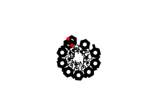 Cc1ccccc1ON1P(Oc2ccccc2C)N=P(Oc2ccccc2C)(Oc2ccccc2C)N(Oc2ccccc2C)P(Oc2ccccc2C)N(Oc2ccccc2C)P(Oc2ccccc2C)N(Oc2ccccc2C)P1Oc1ccccc1C